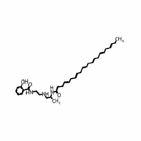 CCC=CCC=CCC=CCC=CCC=CCC=CCCC(=O)NC(C)CNCCNC(=O)c1ccccc1O